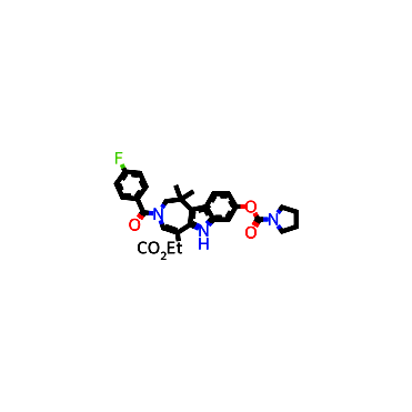 CCOC(=O)C1=CN(C(=O)c2ccc(F)cc2)CC(C)(C)c2c1[nH]c1cc(OC(=O)N3CCCC3)ccc21